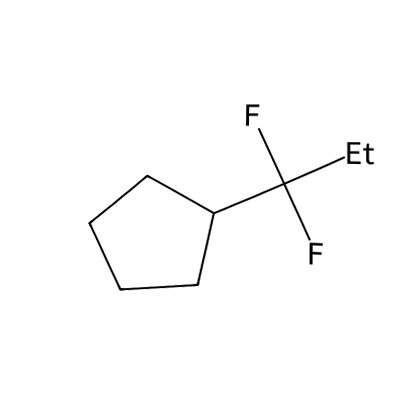 [CH2]CC(F)(F)C1CCCC1